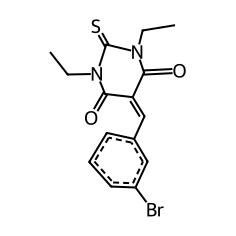 CCN1C(=O)C(=Cc2cccc(Br)c2)C(=O)N(CC)C1=S